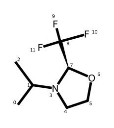 CC(C)N1CCO[C@@H]1C(F)(F)F